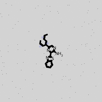 C\C=C/C=C(\C=C/C)c1cnc(N)c(-c2nc3ccccc3s2)n1